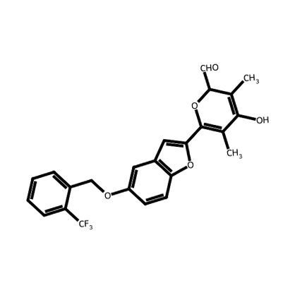 CC1=C(c2cc3cc(OCc4ccccc4C(F)(F)F)ccc3o2)OC(C=O)C(C)=C1O